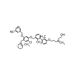 Cc1c(COc2cc(OCc3cncc(C#N)c3)c(CN3CCCC[C@H]3C)cc2Cl)cccc1-c1cccc(OCCCN(C)CCO)c1C